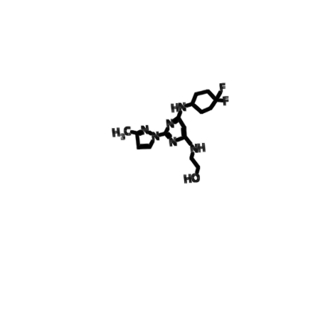 Cc1ccn(-c2nc(NCCO)cc(NC3CCC(F)(F)CC3)n2)n1